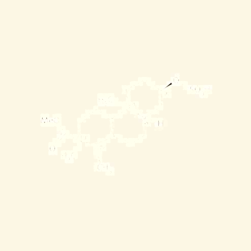 COC(=O)[C@@]1(C)CCC2C(CC[C@@H]3C[C@H](OS(=O)(=O)O)CC[C@]23C)[C@@H]1C